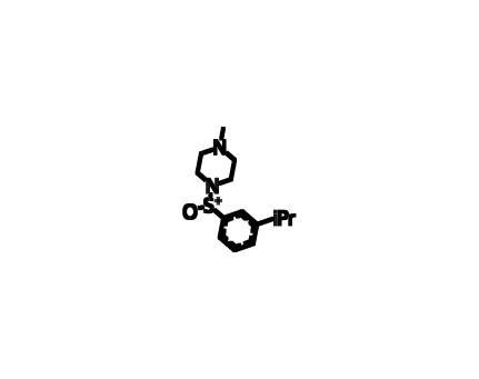 CC(C)c1cccc([S+]([O-])N2CCN(C)CC2)c1